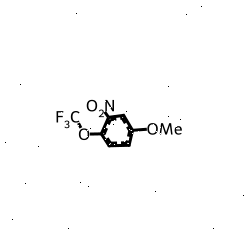 COc1ccc(OC(F)(F)F)c([N+](=O)[O-])c1